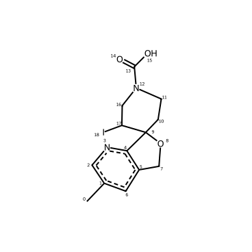 Cc1cnc2c(c1)COC21CCN(C(=O)O)CC1I